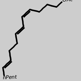 CCCCCC=CCCC=C/C=C\CCCOC(C)=O